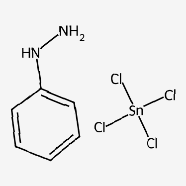 NNc1ccccc1.[Cl][Sn]([Cl])([Cl])[Cl]